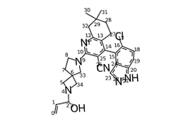 C=CC(O)N1CC2(CCN(c3nc4c(c(-c5c(Cl)ccc6[nH]ncc56)c3C#N)CCC(C)(C)C4)C2)C1